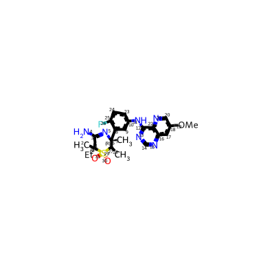 CC[C@]1(C)C(N)=N[C@](C)(c2cc(Nc3ncnc4cc(OC)cnc34)ccc2F)C(C)S1(=O)=O